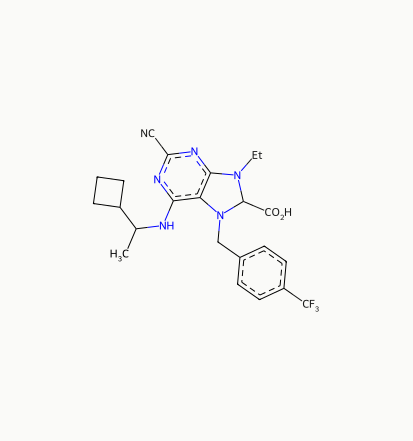 CCN1c2nc(C#N)nc(NC(C)C3CCC3)c2N(Cc2ccc(C(F)(F)F)cc2)C1C(=O)O